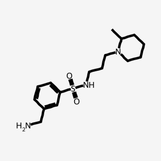 CC1CCCCN1CCCNS(=O)(=O)c1cccc(CN)c1